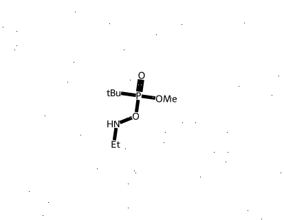 CCNOP(=O)(OC)C(C)(C)C